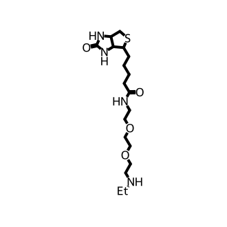 CCNCCOCCOCCNC(=O)CCCCC1SCC2NC(=O)NC21